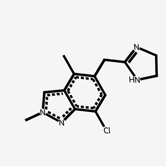 Cc1c(CC2=NCCN2)cc(Cl)c2nn(C)cc12